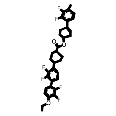 CCOc1ccc(-c2ccc(C3CCC(C(=O)OC4CC=C(c5ccc(C)c(F)c5F)CC4)CC3)c(F)c2F)c(F)c1F